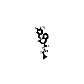 Cc1ccc(CN2C(=O)CC(C(=O)NNC(=O)C3CC3)=Cc3ccccc32)cc1F